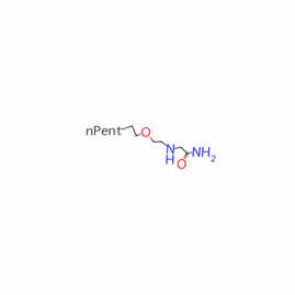 CCCCCCCOCCNCC(N)=O